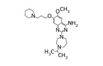 COc1cc2c(N)nc(N3CCCN(C(C)C)CC3)nc2cc1OCCCN1CCCCC1